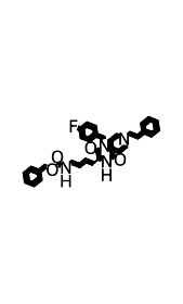 O=C(NCCCC[C@@H]1NC(=O)C2(CCN(CCc3ccccc3)CC2)N(Cc2ccc(F)cc2)C1=O)OCc1ccccc1